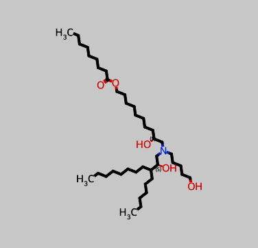 CCCCCCCCC(=O)OCCCCCCCC[C@H](O)CN(CCCCCO)C[C@@H](O)C(CCCCCC)CCCCCCCC